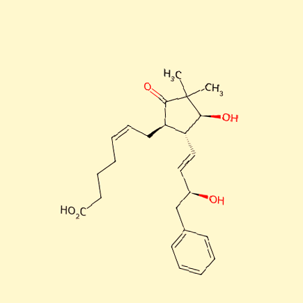 CC1(C)C(=O)[C@H](C/C=C\CCCC(=O)O)[C@@H](/C=C/[C@@H](O)Cc2ccccc2)[C@@H]1O